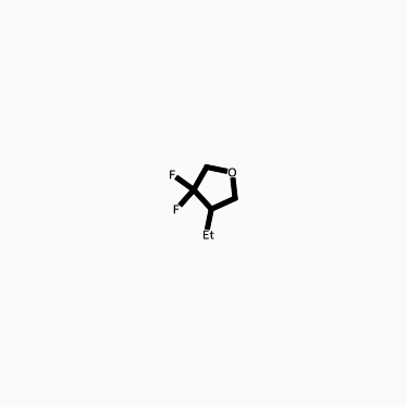 CCC1COCC1(F)F